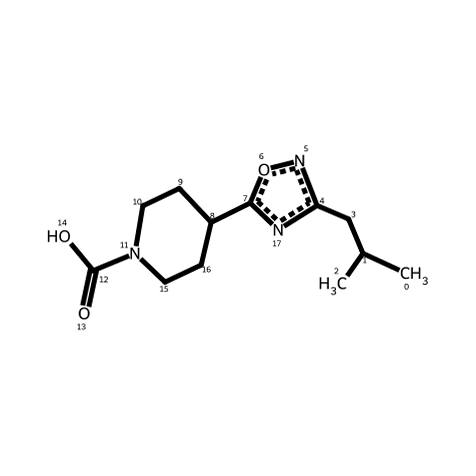 CC(C)Cc1noc(C2CCN(C(=O)O)CC2)n1